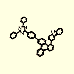 c1ccc(-c2nc(-c3ccccc3)nc(-c3ccc(-c4ccc5c(c4)c4ccccc4c4cccc(-c6ccc7oc8ccccc8c7c6)c45)cc3)n2)cc1